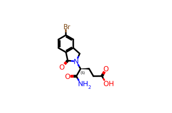 NC(=O)[C@H](CCC(=O)O)N1Cc2cc(Br)ccc2C1=O